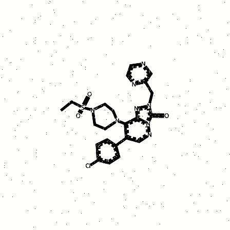 CCS(=O)(=O)N1CCN(c2c(-c3ccc(Cl)cc3)cnn3c(=O)n(Cc4cnccn4)nc23)CC1